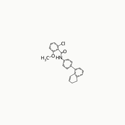 COc1cccc(Cl)c1C(=O)Nc1ccc(-c2cccc3c2C=CCC3)cc1